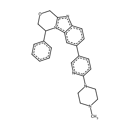 CN1CCN(c2ccc(-c3ccc4nc5n(c4c3)C(c3ccccc3)COC5)cn2)CC1